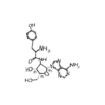 Nc1ncnc2c1ncn2[C@@H]1O[C@H](CO)[C@H](O)C1NC(=O)C(N)Cc1ccc(O)cc1